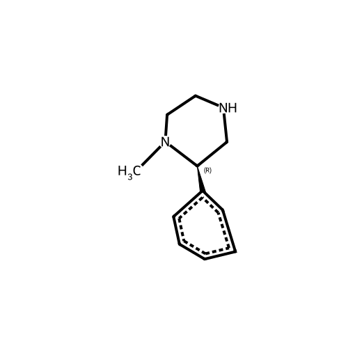 CN1CCNC[C@H]1c1ccccc1